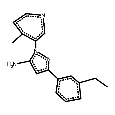 CCc1cccc(-c2cc(N)n(-c3cnccc3C)n2)c1